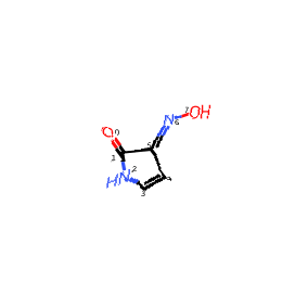 O=C1NC=CC1=NO